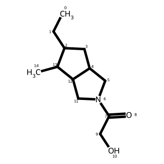 CCC1CC2CN(C(=O)CO)CC2C1C